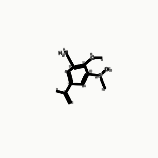 C=C(C)c1cc(N)c(OC)c([S+](C)[O-])c1